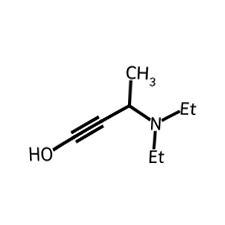 CCN(CC)C(C)C#CO